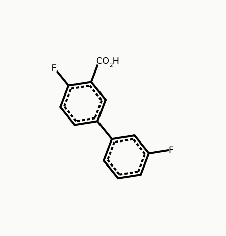 O=C(O)c1cc(-c2cccc(F)c2)ccc1F